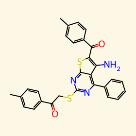 Cc1ccc(C(=O)CSc2nc(-c3ccccc3)c3c(N)c(C(=O)c4ccc(C)cc4)sc3n2)cc1